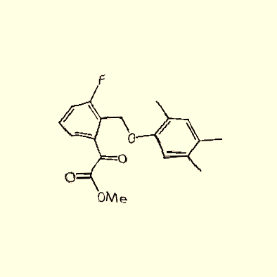 COC(=O)C(=O)c1cccc(F)c1COc1cc(C)c(C)cc1C